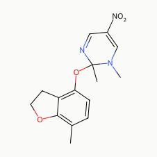 Cc1ccc(OC2(C)N=CC([N+](=O)[O-])=CN2C)c2c1OCC2